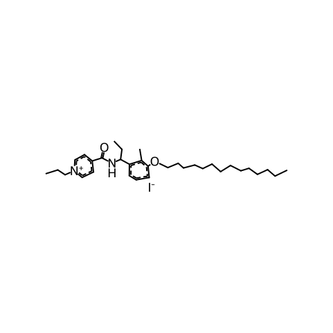 CCCCCCCCCCCCCCOc1cccc(C(CC)NC(=O)c2cc[n+](CCC)cc2)c1C.[I-]